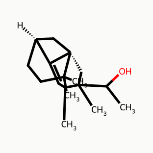 CC(O)C1(C)C[C@]23C[C@H](CCC2(C)C)C3=CC1C